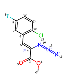 COC(=O)/C(=C/c1cc(F)ccc1Cl)N=[N+]=[N-]